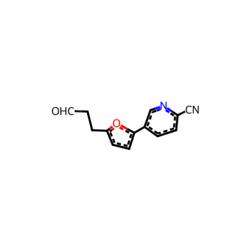 N#Cc1ccc(-c2ccc(CCC=O)o2)cn1